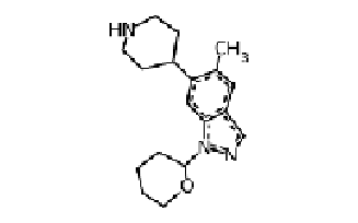 Cc1cc2cnn(C3CCCCO3)c2cc1C1CCNCC1